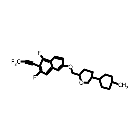 CC1CCC(C2CCC(COc3ccc4c(F)c(C#CC(F)(F)F)c(F)cc4c3)OC2)CC1